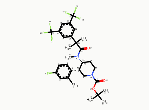 Cc1cc(F)ccc1[C@H]1CN(C(=O)OC(C)(C)C)CC[C@H]1N(C)C(=O)C(C)(C)c1cc(C(F)(F)F)cc(C(F)(F)F)c1